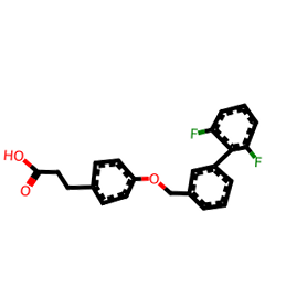 O=C(O)CCc1ccc(OCc2cccc(-c3c(F)cccc3F)c2)cc1